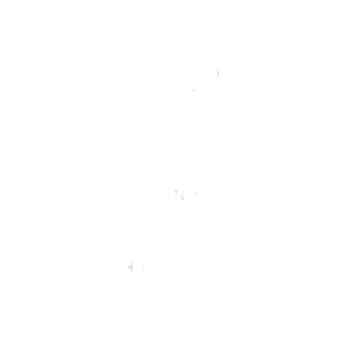 CCCCOC(=O)CCCCCN(C)c1ccc(C=O)cc1